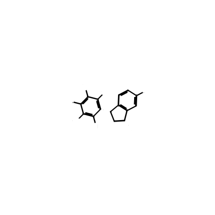 [2H]c1c([2H])c([2H])c([C@H]2C[C@@H](Cl)c3cc(Cl)ccc32)c([2H])c1[2H]